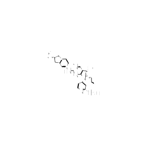 C=CCn1c(=O)c2cnc(Nc3ccc4c(c3)CC(N(C)C)C4)nc2n1-c1ccnc(C(C)(C)C)c1